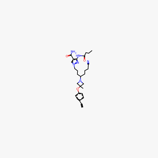 C#Cc1ccc(OC2(C)CN(C(CCCC#N)CCCn3cc(C(N)=O)c(NC(=O)CCC)n3)C2)cc1